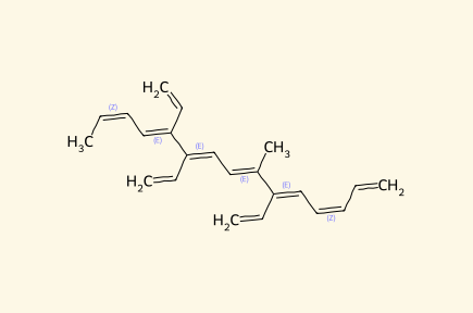 C=C\C=C/C=C(C=C)/C(C)=C/C=C(C=C)/C(C=C)=C/C=C\C